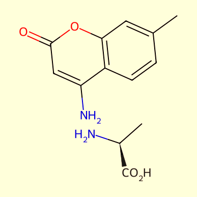 C[C@H](N)C(=O)O.Cc1ccc2c(N)cc(=O)oc2c1